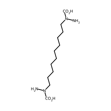 NN(CCCCCCCCCCN(N)C(=O)O)C(=O)O